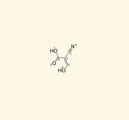 N#C/C(=C/O)C(=O)O